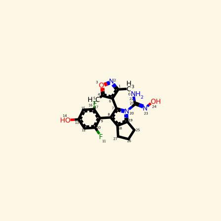 Cc1noc(C)c1-c1c(-c2c(F)cc(O)cc2F)c2c(n1/C(N)=N/O)CCC2